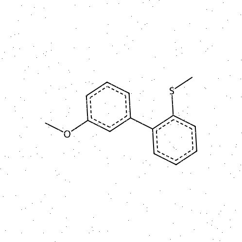 COc1cccc(-c2ccccc2SC)c1